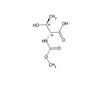 COC(=O)N[C@@H](C(=O)O)[C@H](C)O